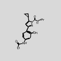 CCC(=O)Nc1ccc(-c2cc(C3CC3)n(C(=O)NC(C)C)n2)c(O)c1